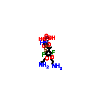 Cc1c(S(=O)(=O)NCP(=O)(O)O)sc2c(F)c(OCCCN)c(OCCCN)c(F)c12